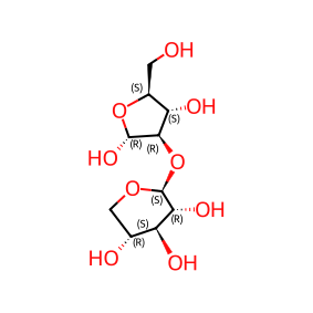 OC[C@@H]1O[C@@H](O)[C@H](O[C@@H]2OC[C@@H](O)[C@H](O)[C@H]2O)[C@H]1O